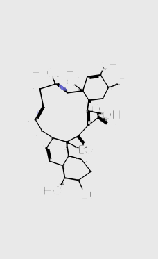 CCC1CC23OC(=O)C(=C2O)C(=O)C2(CC)C(C=CC4C(O)C(CC)CCC42)C/C=C/C/C(C)=C/C3(C)C=C1C